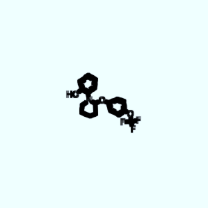 Oc1ccccc1N1CCCCC1Oc1ccc(OC(F)(F)F)cc1